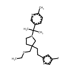 CCOCC1(CCc2cc(F)cs2)CCN(C(C)(C)c2ccc(C)nc2)C1